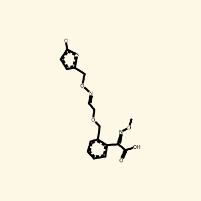 CON=C(C(=O)O)c1ccccc1COCC=NOCc1ccc(Cl)s1